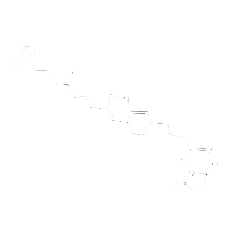 O=C(CCCc1cnc2cc(CCCC(=O)ON3C(=O)CCC3=O)ccc2c1)OCCS(=O)(=O)O